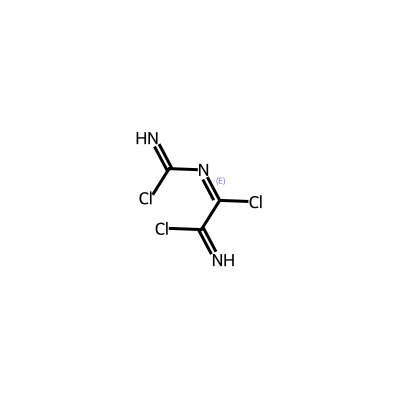 N=C(Cl)/N=C(/Cl)C(=N)Cl